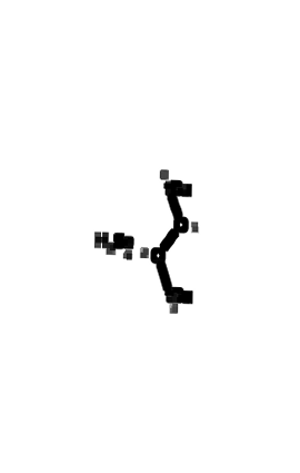 CC(C)(C)OOC(C)(C)C.[SeH2]